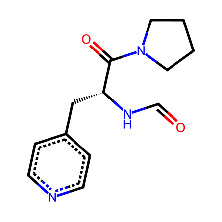 O=CN[C@H](Cc1ccncc1)C(=O)N1CCCC1